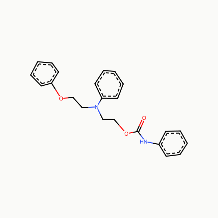 O=C(Nc1ccccc1)OCCN(CCOc1ccccc1)c1ccccc1